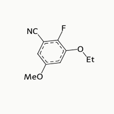 CCOc1cc(OC)cc(C#N)c1F